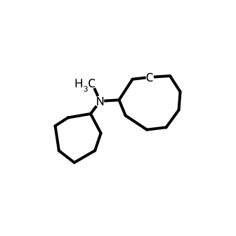 CN(C1CCCCCCCC1)C1CCCCCC1